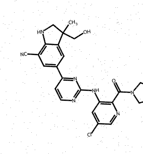 CC1(CO)CNc2c(C#N)cc(-c3ccnc(Nc4cc(Cl)cnc4C(=O)N4CCCC4)n3)cc21